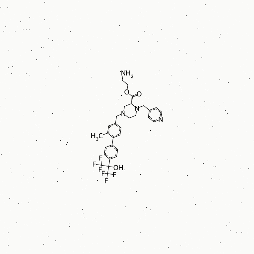 Cc1cc(CN2CCN(Cc3ccncc3)[C@H](C(=O)OCCN)C2)ccc1-c1ccc(C(O)(C(F)(F)F)C(F)(F)F)cc1